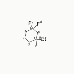 CC[C@@]1(C)CCCC(F)(F)C1